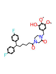 COc1cc(CN2CCN(C(=O)CCCCC(c3ccc(F)cc3)c3ccc(F)cc3)CC2=O)cc(O)c1OC